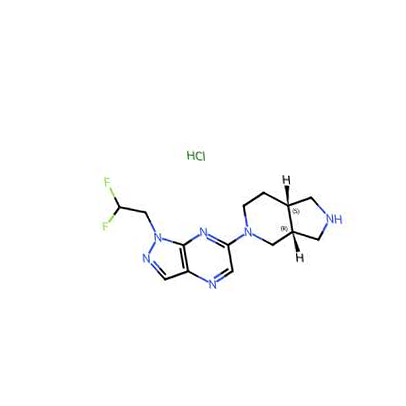 Cl.FC(F)Cn1ncc2ncc(N3CC[C@@H]4CNC[C@@H]4C3)nc21